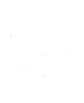 CC1(C)CC1C(Br)C(Br)C=C(Cl)Cl.O=C(O)O